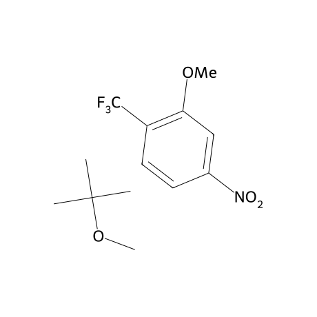 COC(C)(C)C.COc1cc([N+](=O)[O-])ccc1C(F)(F)F